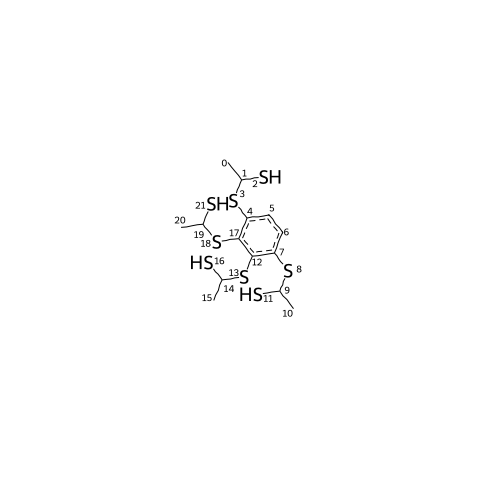 CC(S)Sc1ccc(SC(C)S)c(SC(C)S)c1SC(C)S